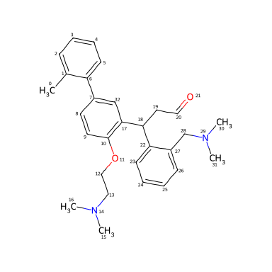 Cc1ccccc1-c1ccc(OCCN(C)C)c(C(CC=O)c2ccccc2CN(C)C)c1